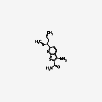 C=CCC(N=C)c1ccc2c(N)c(C(N)=O)sc2n1